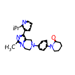 Cc1nc(-c2cccnc2C(C)C)c2n1CCN(c1ccc(N3CCCCC3=O)cc1)C2